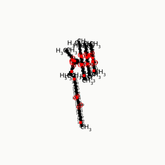 CC(C)CCCCCCCOC(=O)CCCCC(=O)OCCCCCCCC(C)C.CC(C)CCCCCOC(=O)CCCCC(=O)OCCCCCC(C)C.CC(C)CCCCCOC(=O)c1ccccc1C(=O)OCCCCCC(C)C.CC(C)CCCCOC(=O)CCCCC(=O)OCCCCC(C)C.CCCCCCCCCCCCCOC(=O)CCCCC(=O)OCCCCCCCCCCCCC